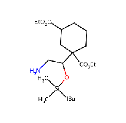 CCOC(=O)C1CCCC(C(=O)OCC)(C(CN)O[Si](C)(C)C(C)(C)C)C1